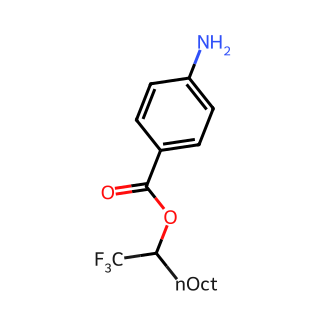 CCCCCCCCC(OC(=O)c1ccc(N)cc1)C(F)(F)F